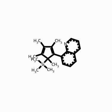 CC1=C(C)C(C)([Si](C)(C)C)C(c2cccc3cccnc23)=C1C